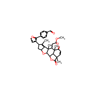 COC(=O)CC1C2(C)C3=C(C)C(c4ccoc4-c4ccc(C=O)cc4)CC3OC2C2OC(=O)C3(C)C=CC(=O)C1(C)C23